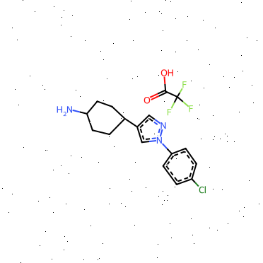 NC1CCC(c2cnn(-c3ccc(Cl)cc3)c2)CC1.O=C(O)C(F)(F)F